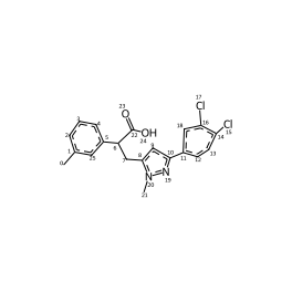 Cc1cccc(C(Cc2cc(-c3ccc(Cl)c(Cl)c3)nn2C)C(=O)O)c1